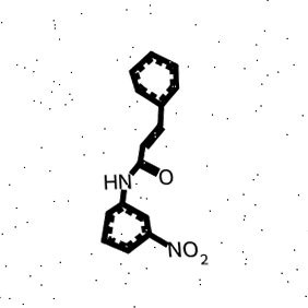 O=C(/C=C/c1ccccc1)Nc1cccc([N+](=O)[O-])c1